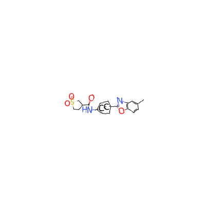 Cc1ccc2oc(C34CCC(NC(=O)C5CCS(=O)(=O)C5)(CC3)CC4)nc2c1